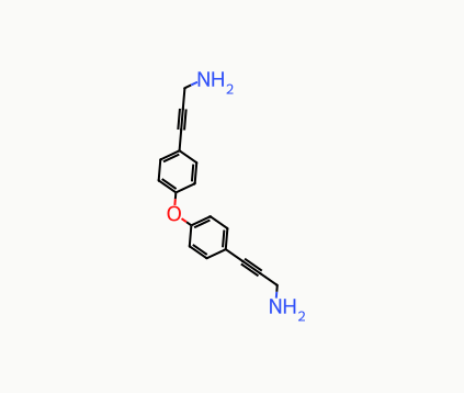 NCC#Cc1ccc(Oc2ccc(C#CCN)cc2)cc1